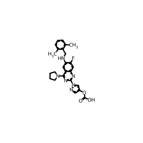 Cc1cccc(C)c1CNc1cc2c(N3CCCC3)nc(-n3cc(OC(=O)O)cn3)nc2cc1F